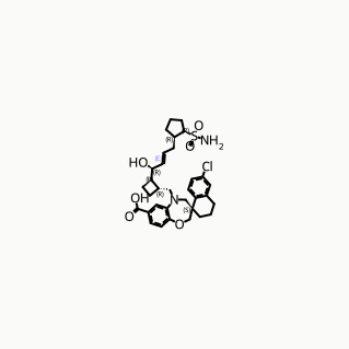 NS(=O)(=O)[C@@H]1CCC[C@@H]1C/C=C/[C@H](O)[C@@H]1CC[C@H]1CN1C[C@@]2(CCCc3cc(Cl)ccc32)COc2ccc(C(=O)O)cc21